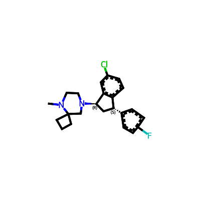 CN1CCN([C@@H]2C[C@@H](c3ccc(F)cc3)c3ccc(Cl)cc32)CC12CCC2